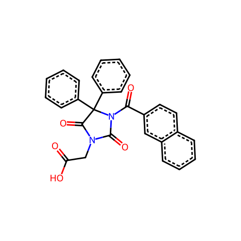 O=C(O)CN1C(=O)N(C(=O)c2ccc3ccccc3c2)C(c2ccccc2)(c2ccccc2)C1=O